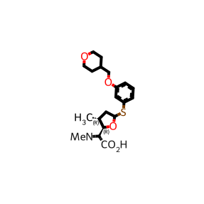 CNC(C(=O)O)[C@@H]1OC(Sc2cccc(OCC3CCOCC3)c2)C[C@H]1C